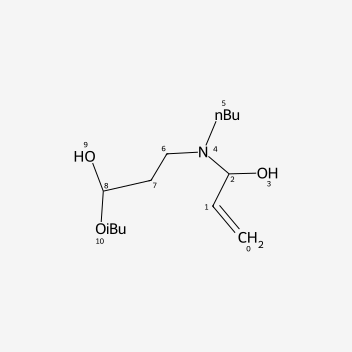 C=CC(O)N(CCCC)CCC(O)OCC(C)C